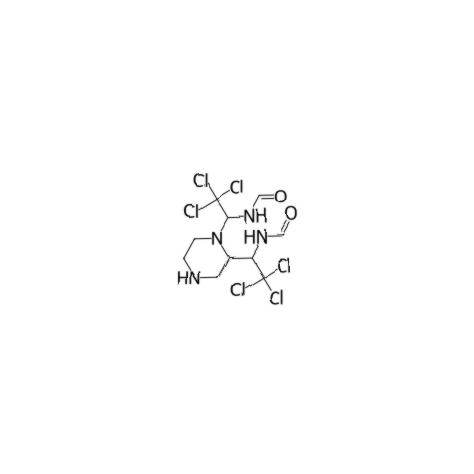 O=CNC(C1CNCCN1C(NC=O)C(Cl)(Cl)Cl)C(Cl)(Cl)Cl